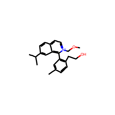 COC[n+]1ccc2ccc(C(C)C)cc2c1-c1cc(C)ccc1CCO